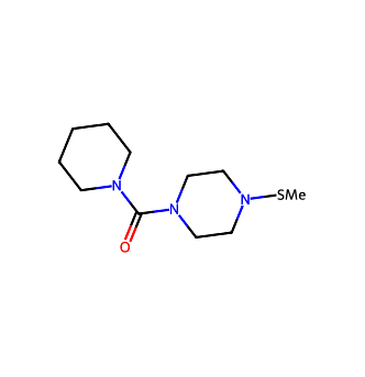 CSN1CCN(C(=O)N2CCCCC2)CC1